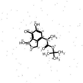 CN(C(=O)OC(C)(C)C)c1cc(O)c(Cl)c2c1COB2O